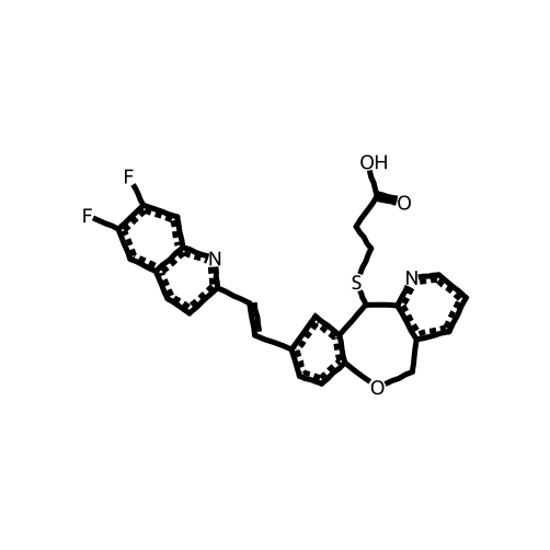 O=C(O)CCSC1c2cc(C=Cc3ccc4cc(F)c(F)cc4n3)ccc2OCc2cccnc21